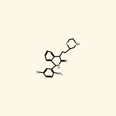 Nc1ccc(Cl)cc1C1NC(=O)C(CCC2CNCCS2)c2ccccc21